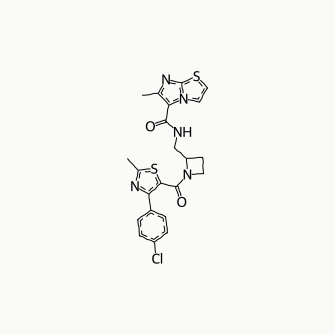 Cc1nc(-c2ccc(Cl)cc2)c(C(=O)N2CCC2CNC(=O)c2c(C)nc3sccn23)s1